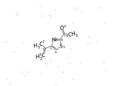 C=C(C)c1csc(C(C)=O)n1